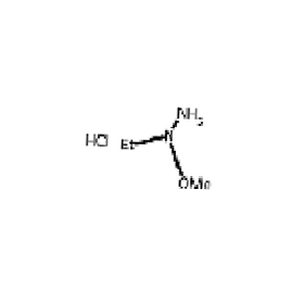 CCN(N)OC.Cl